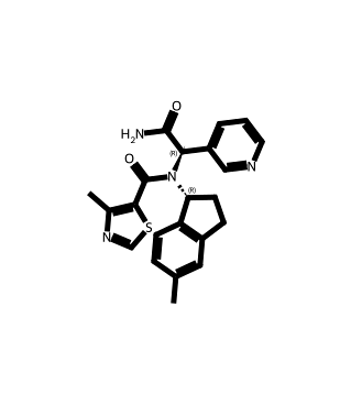 Cc1ccc2c(c1)CC[C@H]2N(C(=O)c1scnc1C)[C@@H](C(N)=O)c1cccnc1